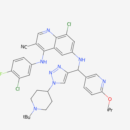 CC(C)Oc1ccc(C(Nc2cc(Cl)c3ncc(C#N)c(Nc4ccc(F)c(Cl)c4)c3c2)c2cn(C3CCN(C(C)(C)C)CC3)nn2)cn1